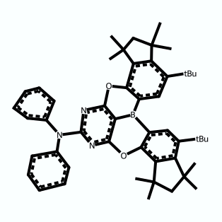 CC(C)(C)c1cc2c(c3c1C(C)(C)CC3(C)C)Oc1nc(N(c3ccccc3)c3ccccc3)nc3c1B2c1cc(C(C)(C)C)c2c(c1O3)C(C)(C)CC2(C)C